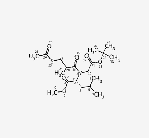 COC(=O)[C@@H](CC(C)C)N(CC(=O)OC(C)(C)C)C(=O)C(C)CSC(C)=O